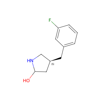 OC1C[C@H](Cc2cccc(F)c2)CN1